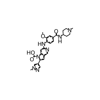 COc1cc(C(=O)NC2CCN(C)CC2)ccc1Nc1cc2c(cn1)cc(-c1cnn(C)c1)n2C(=O)O